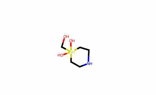 OC[SH]1(O)(O)CCNCC1